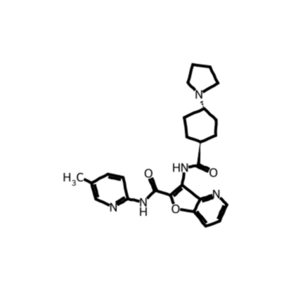 Cc1ccc(NC(=O)c2oc3cccnc3c2NC(=O)[C@H]2CC[C@H](N3CCCC3)CC2)nc1